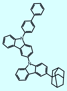 c1ccc(-c2ccc(-n3c4ccccc4c4cc(-n5c6ccccc6c6cc(C78CC9CC(CC(C9)C7)C8)ccc65)ccc43)cc2)cc1